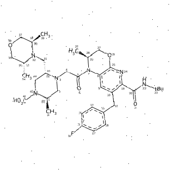 C[C@@H]1CN(CC(=O)N2c3cc(Cc4ccc(F)cc4)c(C(=O)NC(C)(C)C)nc3OC[C@@H]2C)[C@@H](CN2[C@H](C)COC[C@H]2C)CN1C(=O)O